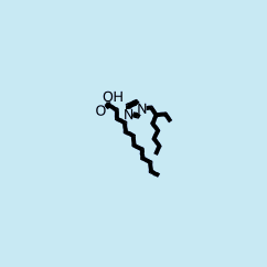 CCCCCC(CC)Cn1ccnc1.CCCCCCCCCCCC(=O)O